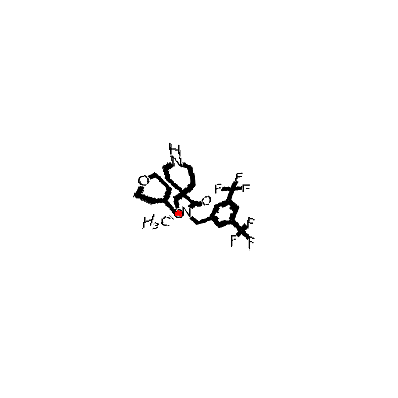 COCC1(C(=O)N(Cc2cc(C(F)(F)F)cc(C(F)(F)F)c2)CC2CCOCC2)CCNCC1